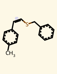 Cc1ccc(/C=C\SCc2ccccc2)cc1